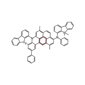 Cc1cc(N(c2ccccc2)c2cccc3c2[Si](C)(C)c2ccccc2-3)c2ccc3c(C)cc(N(c4c(F)cc(-c5ccccc5)cc4-c4ccccc4)c4cccc5c4oc4ccccc45)c4ccc1c2c34